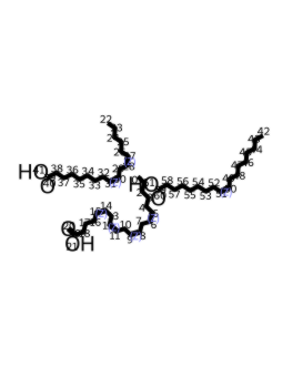 CCCCC/C=C\C/C=C\C/C=C\C/C=C\CCCC(=O)O.CCCCC/C=C\C/C=C\CCCCCCCC(=O)O.CCCCCCCC/C=C\CCCCCCCC(=O)O